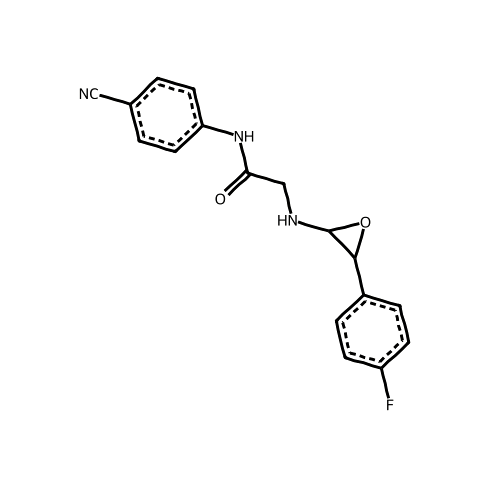 N#Cc1ccc(NC(=O)CNC2OC2c2ccc(F)cc2)cc1